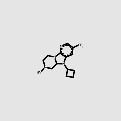 CC(C)N1CCN2c3ncc(C(F)(F)F)cc3N(C3CCC3)C2C1